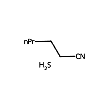 CCCCCC#N.S